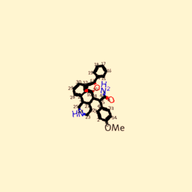 COc1ccc(C(C(N)=O)C(c2ccc(-c3ccccc3)o2)C2CCNCC2c2ccccc2)cc1